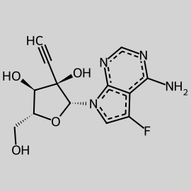 C#C[C@@]1(O)[C@H](O)[C@@H](CO)O[C@H]1n1cc(F)c2c(N)ncnc21